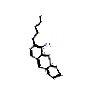 CCCCCc1ccc2cc3ccccc3cc2c1N